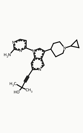 CC(C)(O)C#Cc1cc2c(cn1)c(C1CCN(C3CC3)CC1)cn2-c1ccnc(N)n1